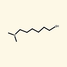 CN(C)CCCCCCS